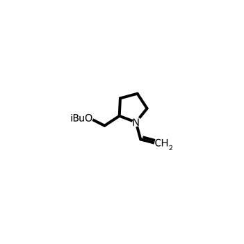 C=CN1CCCC1COCC(C)C